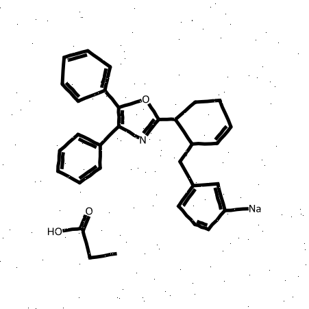 CCC(=O)O.[Na][c]1cccc(CC2C=CCCC2c2nc(-c3ccccc3)c(-c3ccccc3)o2)c1